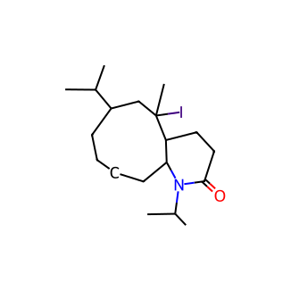 CC(C)C1CCCCC2C(CCC(=O)N2C(C)C)C(C)(I)C1